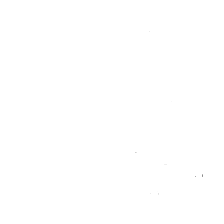 CC(C)CC1CCCCC12CCS(=O)(=O)CC2